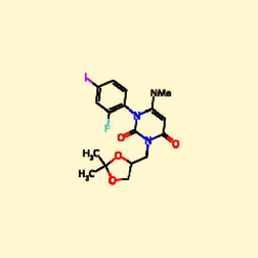 CNc1cc(=O)n(CC2COC(C)(C)O2)c(=O)n1-c1ccc(I)cc1F